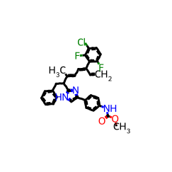 C=C/C(=C\C=C(/C)C(Cc1ccccc1)c1nc(-c2ccc(NC(=O)OC)cc2)c[nH]1)c1c(F)ccc(Cl)c1F